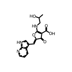 CC(O)CNC1=C(C(=O)O)C(=O)/C(=C/c2c[nH]c3ncccc23)O1